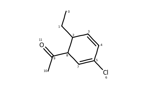 CCC1C=CC(Cl)=CC1C(C)=O